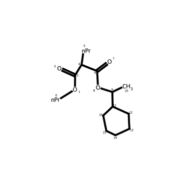 CCCOC(=O)C(CCC)C(=O)OC(C)C1CCCCC1